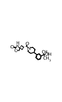 CC(C)(O)c1cccc(C2CCN(C(=O)[C@H]3C[C@]4(COC(=O)N4)C3)CC2)c1